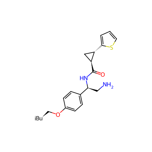 CC[C@H](C)COc1ccc([C@H](CN)NC(=O)[C@H]2C[C@@H]2c2cccs2)cc1